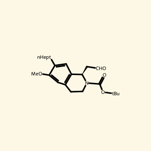 CCCCCCCc1cc2c(cc1OC)CCN(C(=O)OC(C)(C)C)[C@@H]2CC=O